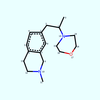 CC(Cc1ccc2c(c1)CN(C)CC2)N1CCOCC1